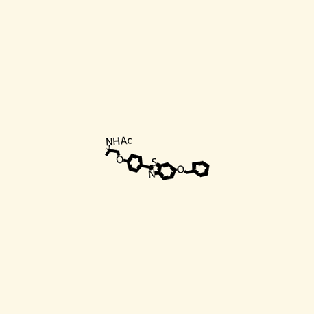 CC(=O)N[C@@H](C)COc1ccc(-c2nc3ccc(OCc4ccccc4)cc3s2)cc1